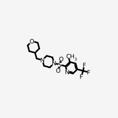 Cc1cc(C(F)(F)F)cnc1S(=O)(=O)N1CCN(CC2CCOCC2)CC1